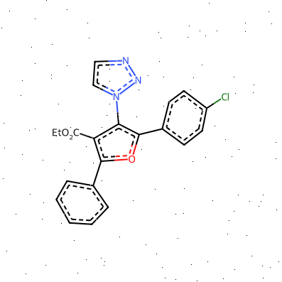 CCOC(=O)c1c(-c2ccccc2)oc(-c2ccc(Cl)cc2)c1-n1ccnn1